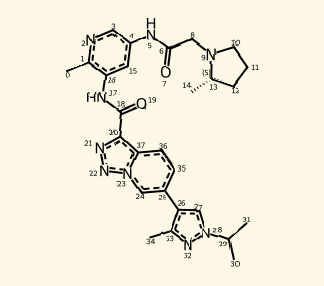 Cc1ncc(NC(=O)CN2CCC[C@@H]2C)cc1NC(=O)c1nnn2cc(-c3cn(C(C)C)nc3C)ccc12